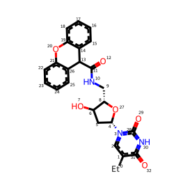 CCc1cn([C@@H]2CC(O)[C@H](CNC(=O)C3c4ccccc4Oc4ccccc43)O2)c(=O)[nH]c1=O